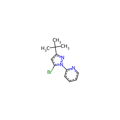 CC(C)(C)c1cc(Br)n(-c2ccccn2)n1